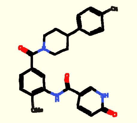 COc1ccc(C(=O)N2CCC(c3ccc(C#N)cc3)CC2)cc1NC(=O)c1ccc(=O)[nH]c1